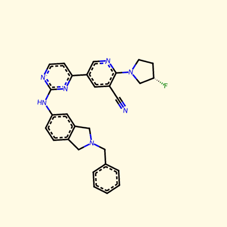 N#Cc1cc(-c2ccnc(Nc3ccc4c(c3)CN(Cc3ccccc3)C4)n2)cnc1N1CC[C@H](F)C1